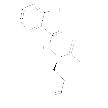 O=C(O)CC[C@@H](NC(=O)c1ncccc1O)C(=O)O